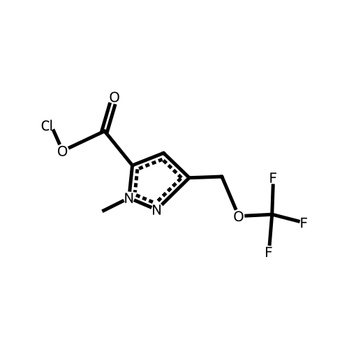 Cn1nc(COC(F)(F)F)cc1C(=O)OCl